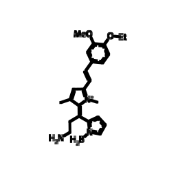 Bn1cccc1/C(CCN)=C1/C(C)=CC(/C=C/c2ccc(OCC)c(OC)c2)=[N+]1C